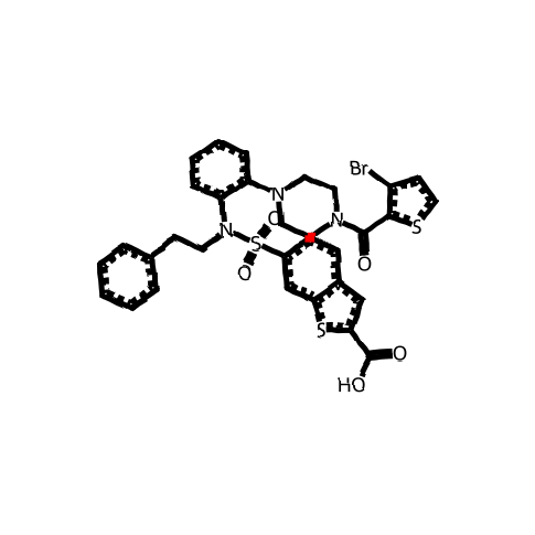 O=C(O)c1cc2ccc(S(=O)(=O)N(CCc3ccccc3)c3ccccc3N3CCN(C(=O)c4sccc4Br)CC3)cc2s1